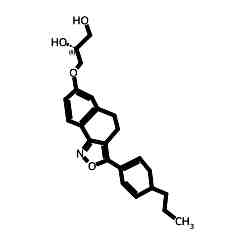 CCCC1C=CC(c2onc3c2CCc2cc(OC[C@H](O)CO)ccc2-3)=CC1